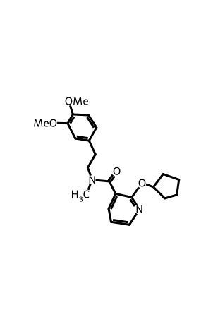 COc1ccc(CCN(C)C(=O)c2cccnc2OC2CCCC2)cc1OC